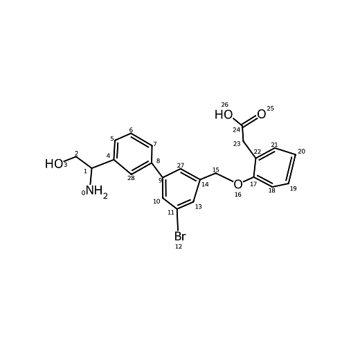 NC(CO)c1cccc(-c2cc(Br)cc(COc3ccccc3CC(=O)O)c2)c1